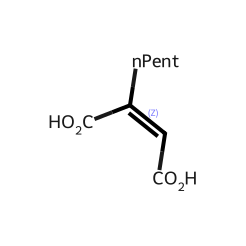 CCCCC/C(=C/C(=O)O)C(=O)O